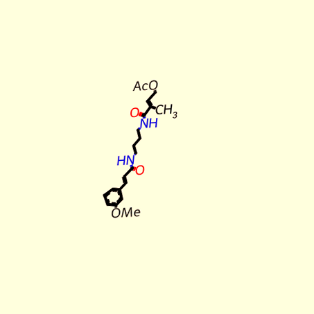 COc1cccc(/C=C/C(=O)NCCCCNC(=O)/C(C)=C/COC(C)=O)c1